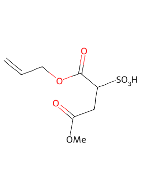 C=CCOC(=O)C(CC(=O)OC)S(=O)(=O)O